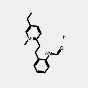 CCc1ccc(CCc2ccccc2NC=O)[n+](C)c1.[I-]